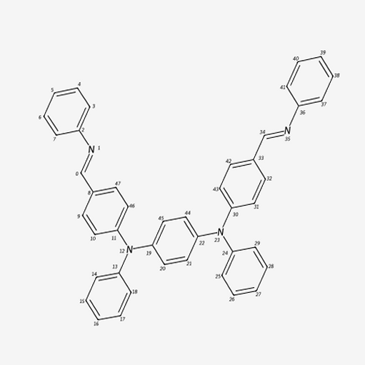 C(=N\c1ccccc1)/c1ccc(N(c2ccccc2)c2ccc(N(c3ccccc3)c3ccc(/C=N/c4ccccc4)cc3)cc2)cc1